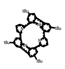 CC(C)(C)c1cc2c3cccc(n3)c3cc(C(C)(C)C)cc4c5cc(C(C)(C)C)cc(c6cccc(n6)c6cc(C(C)(C)C)cc7c(c1)c2[nH]c67)c5[nH]c34